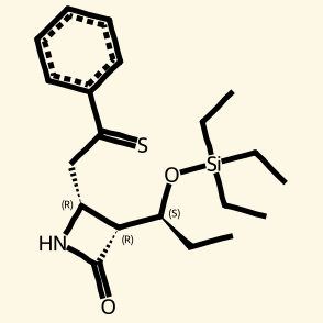 CC[C@H](O[Si](CC)(CC)CC)[C@@H]1C(=O)N[C@@H]1CC(=S)c1ccccc1